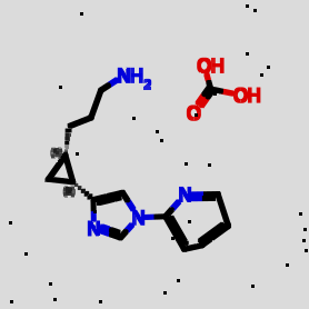 NCCC[C@H]1C[C@H]1c1cn(-c2ccccn2)cn1.O=C(O)O